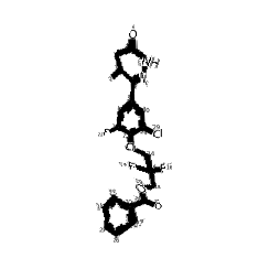 CC1CC(=O)NN=C1c1cc(F)c(OCC(F)(F)COC(=O)c2ccccc2)c(Cl)c1